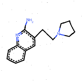 Nc1nc2ccccc2cc1CCN1CCCC1